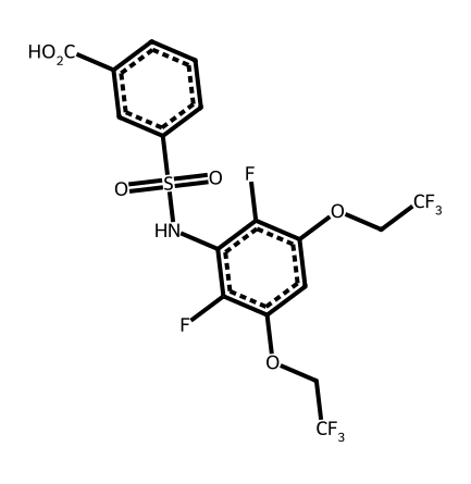 O=C(O)c1cccc(S(=O)(=O)Nc2c(F)c(OCC(F)(F)F)cc(OCC(F)(F)F)c2F)c1